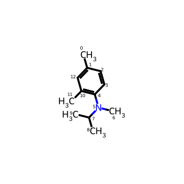 Cc1ccc(N(C)C(C)C)c(C)c1